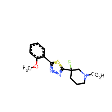 O=C(O)N1CCCC(F)(c2nnc(-c3ccccc3OC(F)(F)F)s2)C1